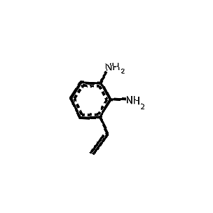 C=Cc1cccc(N)c1N